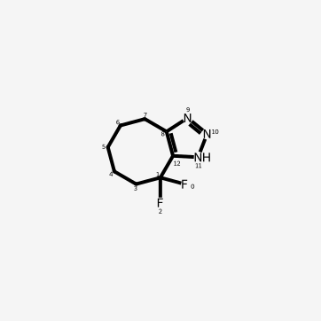 FC1(F)CCCCCc2nn[nH]c21